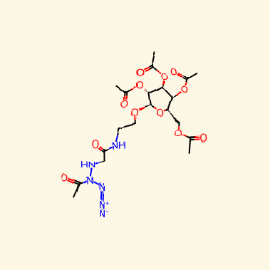 CC(=O)OC[C@H]1O[C@@H](OCCNC(=O)CNN(N=[N+]=[N-])C(C)=O)[C@H](OC(C)=O)[C@@H](OC(C)=O)[C@H]1OC(C)=O